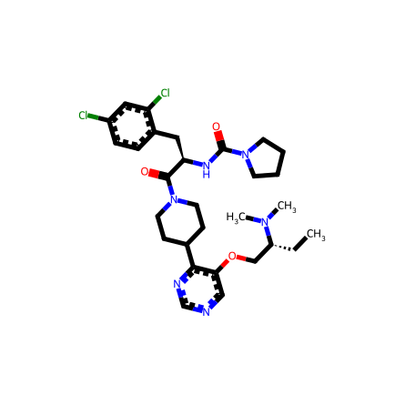 CC[C@H](COc1cncnc1C1CCN(C(=O)[C@@H](Cc2ccc(Cl)cc2Cl)NC(=O)N2CCCC2)CC1)N(C)C